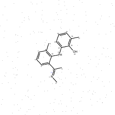 C/N=C(\C)c1cccc(C)c1Pc1cccc(C)c1O